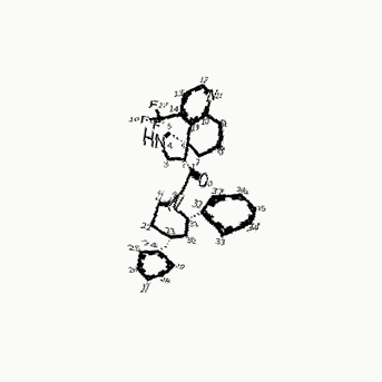 O=C([C@@H]1CNC[C@]12CCCc1nccc(C(F)(F)F)c12)N1CC[C@@H](c2ccccc2)C[C@H]1c1ccccc1